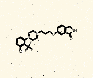 O=C1NCc2ccc(OCCCN3CCN(c4cccc(Cl)c4C(F)(F)F)CC3)cc21